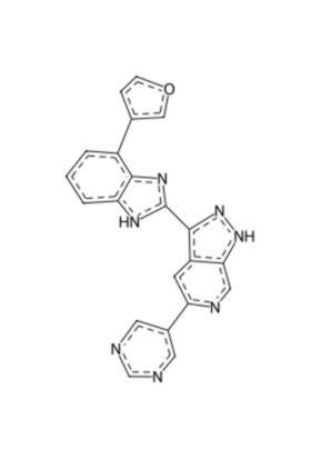 c1cc(-c2ccoc2)c2nc(-c3n[nH]c4cnc(-c5cncnc5)cc34)[nH]c2c1